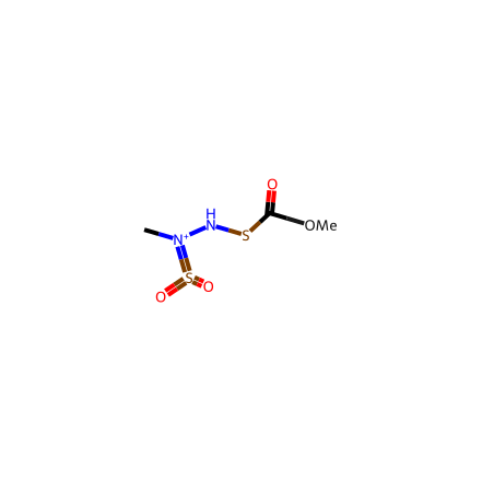 COC(=O)SN[N+](C)=S(=O)=O